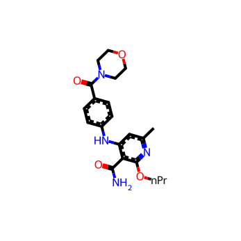 CCCOc1nc(C)cc(Nc2ccc(C(=O)N3CCOCC3)cc2)c1C(N)=O